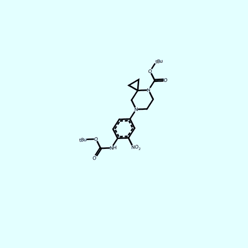 CC(C)(C)OC(=O)Nc1ccc(N2CCN(C(=O)OC(C)(C)C)C3(CC3)C2)cc1[N+](=O)[O-]